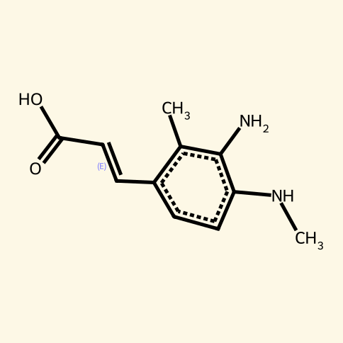 CNc1ccc(/C=C/C(=O)O)c(C)c1N